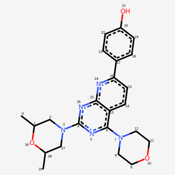 CC1CN(c2nc(N3CCOCC3)c3ccc(-c4ccc(O)cc4)nc3n2)CC(C)O1